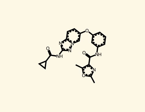 Cc1nc(C(=O)Nc2cccc(Oc3ccc4nc(NC(=O)C5CC5)nn4c3)c2)c(C)o1